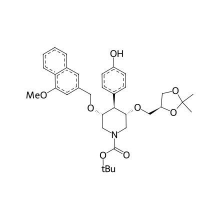 COc1cc(CO[C@H]2CN(C(=O)OC(C)(C)C)C[C@@H](OC[C@H]3COC(C)(C)O3)[C@@H]2c2ccc(O)cc2)cc2ccccc12